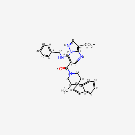 CC1CN(C(=O)c2cnc3c(C(=O)O)cnn3c2NCc2ccccc2)CCC12C=Cc1ccccc12